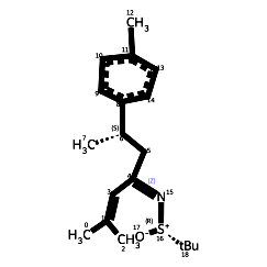 CC(C)=C/C(C[C@H](C)c1ccc(C)cc1)=N\[S@@+]([O-])C(C)(C)C